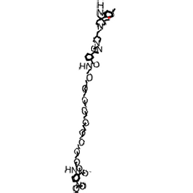 Cc1ccc2c(c1)NCC21CCN(CCC2CCN(c3ncc(-c4cccc(C(=O)NCCOCCOCCOCCOCCOCCOCCOCCOCCOCCNc5ccc([N+](=O)[O-])cc5[N+](=O)[O-])c4)o3)CC2)CC1C